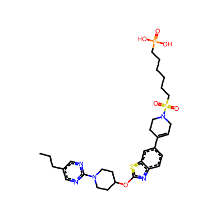 CCCc1cnc(N2CCC(Oc3nc4ccc(C5=CCN(S(=O)(=O)CCCCCCP(=O)(O)O)CC5)cc4s3)CC2)nc1